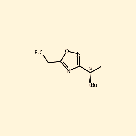 C[C@H](c1noc(CC(F)(F)F)n1)C(C)(C)C